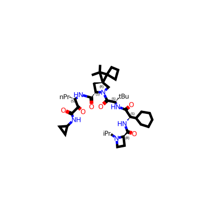 CCC[C@H](NC(=O)[C@@H]1C[C@@]2(CN1C(=O)[C@@H](NC(=O)[C@@H](NC(=O)[C@H]1CCN1C(C)C)C1CCCCC1)C(C)(C)C)C(C)(C)C21CCC1)C(=O)C(=O)NC1CC1